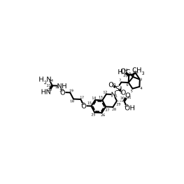 CC1(C)C2CCC1(CS(=O)(=O)N1Cc3cc(OCCCONC(=N)N)ccc3C[C@H]1C(=O)O)C(=O)C2